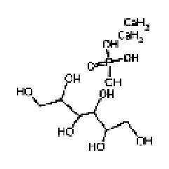 O=P(O)(O)O.OCC(O)C(O)C(O)C(O)CO.[CaH2].[CaH2]